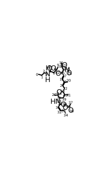 CCCNC(=O)C[C@]1(O)C[C@@]2(CO2)[C@H](N=O)[C@@H](/C=C/C(C)=C/C[C@@H]2O[C@H](C)[C@H](NC(=O)/C=C\[C@H](C)OC(C)=O)C[C@@H]2C)O1